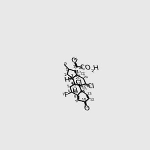 CC1C[C@H]2[C@@H]3CC(F)C4=CC(=O)C=C[C@]4(C)[C@@]3(Cl)C(Cl)C[C@]2(C)[C@H]1C(=O)C(=O)O